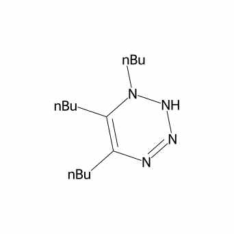 CCCCC1=C(CCCC)N(CCCC)NN=N1